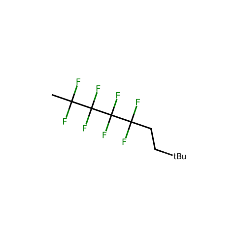 CC(C)(C)CCC(F)(F)C(F)(F)C(F)(F)C(C)(F)F